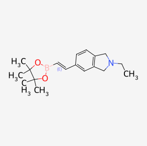 CCN1Cc2ccc(/C=C/B3OC(C)(C)C(C)(C)O3)cc2C1